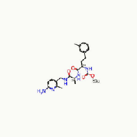 Cc1cccc(CC[C@@H](NC(=O)OC(C)(C)C)C(=O)N[C@@H](C)C(=O)NCc2ccc(N)nc2C)c1